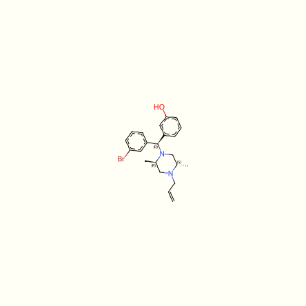 C=CCN1C[C@@H](C)N([C@H](c2cccc(O)c2)c2cccc(Br)c2)C[C@@H]1C